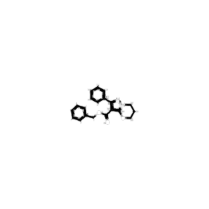 O=C(OCc1ccccc1)c1c(-c2ccccc2)nn2c1OCCC2